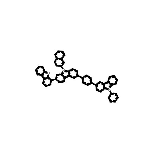 c1ccc(-n2c3ccccc3c3cc(-c4ccc(-c5ccc6c(c5)c5ccc(-c7cccc8c7oc7ccccc78)cc5n6-c5ccc6ccccc6c5)cc4)ccc32)cc1